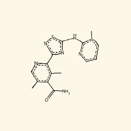 Cc1cccnc1Nc1nc(-c2ncc(C)c(C(N)=O)c2C)ns1